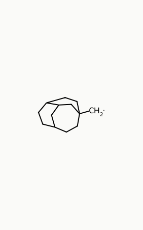 [CH2]C12CCC3CCC(CC1)C(C3)C2